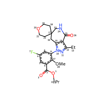 CCCOC(=O)c1cc(F)cc(-n2nc(CC)c3c2CC2(CCOCC2)CNC3=O)c1OC